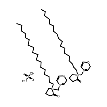 CCCCCCCCCCCCCCCCCC[N+]1(C[N+]2=CCOC=C2)CCCC1=O.CCCCCCCCCCCCCCCCCC[N+]1(C[N+]2=CCOC=C2)CCCC1=O.O=S(=O)(O)O